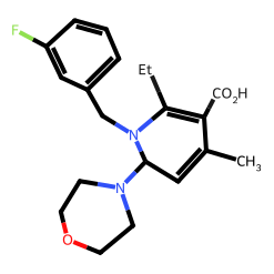 CCC1=C(C(=O)O)C(C)=CC(N2CCOCC2)N1Cc1cccc(F)c1